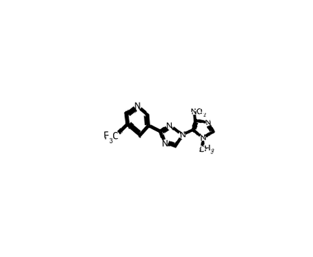 Cn1cnc([N+](=O)[O-])c1-n1cnc(-c2cncc(C(F)(F)F)c2)n1